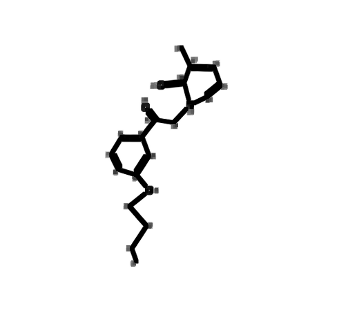 CCCCOc1cccc(C(=O)Cn2cccc(C)c2=O)c1